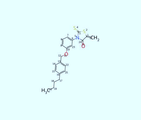 C=C1SC(=S)N(c2cccc(OCc3ccc(CCCC)cc3)c2)C1=O